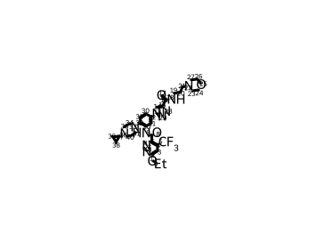 CCOc1cc(C(F)(F)F)c(C(=O)Nc2cc(-n3cc(C(=O)NCCCN4CCOCC4)nn3)ccc2N2CCN(C3CC3)CC2)nn1